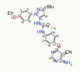 CCOc1ccc(-n2nc(C(C)(C)C)cc2NC(=O)Nc2ccc(Oc3ncnc(N)c3C#N)cc2F)cc1